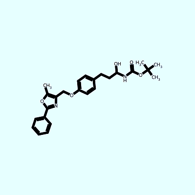 Cc1oc(-c2ccccc2)nc1COc1ccc(CCC(O)NC(=O)OC(C)(C)C)cc1